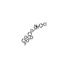 O=c1c(Oc2ccccc2F)coc2cc(OCc3cnn(-c4ccc(Cl)cc4)c3)ccc12